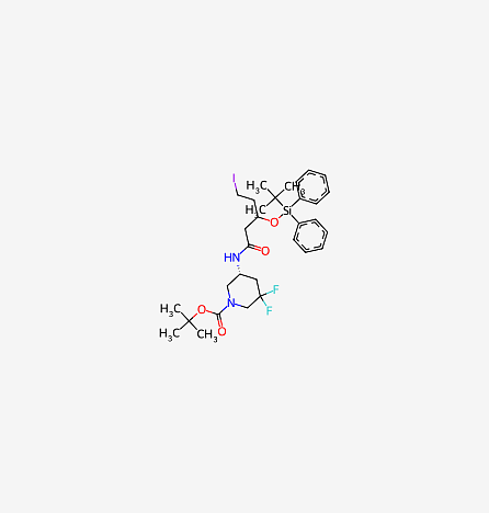 CC(C)(C)OC(=O)N1C[C@H](NC(=O)CC(CCI)O[Si](c2ccccc2)(c2ccccc2)C(C)(C)C)CC(F)(F)C1